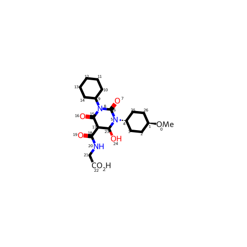 CO[C@H]1CC[C@H](N2C(=O)N(C3CCCCC3)C(=O)C(C(=O)NCC(=O)O)C2O)CC1